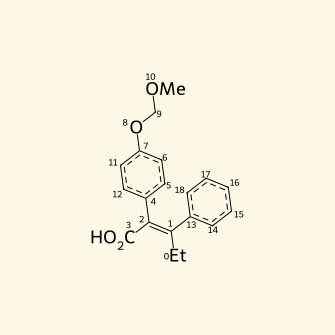 CCC(=C(C(=O)O)c1ccc(OCOC)cc1)c1ccccc1